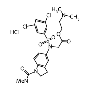 CNC(=O)N1CCc2cc(N(CC(=O)OCCN(C)C)S(=O)(=O)c3cc(Cl)cc(Cl)c3)ccc21.Cl